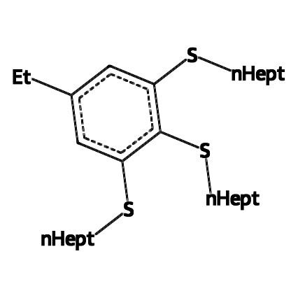 CCCCCCCSc1cc(CC)cc(SCCCCCCC)c1SCCCCCCC